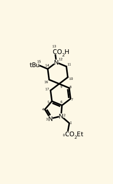 CCOC(=O)Cn1ncc2c1C=CC1(CCN(C(=O)O)C(C(C)(C)C)C1)C2